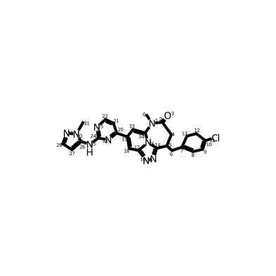 CN1C(=O)CC(CC2=CC=C(Cl)CC2)c2nnc3cc(-c4ccnc(Nc5ccnn5C)n4)cc1n23